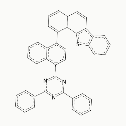 C1=CC2C=Cc3c(sc4ccccc34)C2C(c2ccc(-c3nc(-c4ccccc4)nc(-c4ccccc4)n3)c3ccccc23)=C1